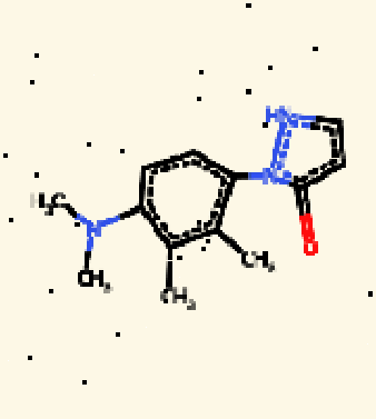 Cc1c(N(C)C)ccc(-n2[nH]ccc2=O)c1C